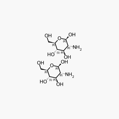 N[C@@H]1[C@@H](O)[C@H](O)[C@@H](CO)O[C@H]1O.N[C@@H]1[C@@H](O)[C@H](O)[C@@H](CO)O[C@H]1O